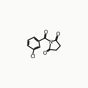 O=C1CCC(=O)N1C(=O)c1cccc(Cl)c1